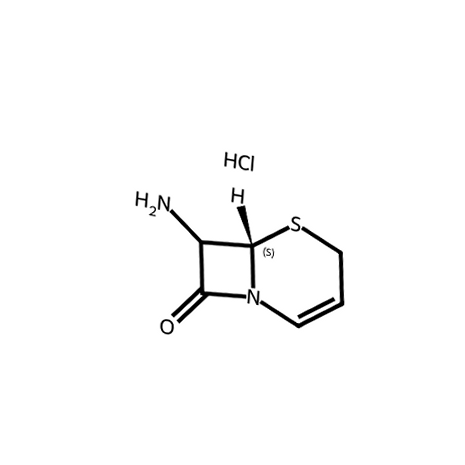 Cl.NC1C(=O)N2C=CCS[C@@H]12